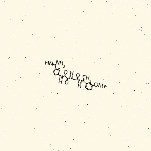 COc1cccc([C@H](C)NC(=O)CNC(=O)C(=O)Nc2ccc(C(=N)N)s2)c1